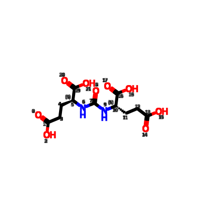 O=C(O)CC[C@H](NC(=O)N[C@@H](CCC(=O)O)C(=O)O)C(=O)O